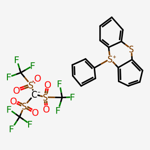 O=S(=O)([C-](S(=O)(=O)C(F)(F)F)S(=O)(=O)C(F)(F)F)C(F)(F)F.c1ccc([S+]2c3ccccc3Sc3ccccc32)cc1